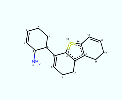 NC1C=CCCC1C1=CCCc2c1sc1c2CCC=C1